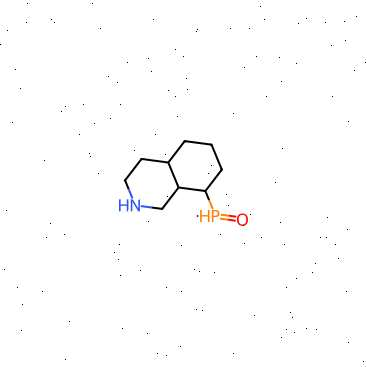 O=[PH]C1CCCC2CCNCC21